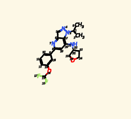 CC(C)n1ncc2nc(-c3cccc(OC(F)F)c3)cc(N[C@@H]3CCOC3)c21